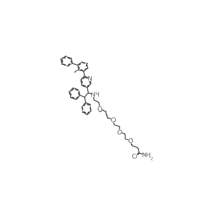 Cc1c(-c2ccccc2)cccc1-c1ccc(C(NCCOCCOCCOCCOCCC(N)=O)C(c2ccccc2)c2ccccc2)cn1